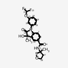 CC1(NC(=O)c2ccc3c(c2)[C@@](C)(O)C(=O)N3c2cccc(OC(F)F)c2)CCOS1